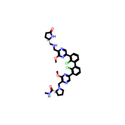 CNC(=O)[C@H]1CCCN1Cc1ncc(-c2cccc(-c3cccc(-c4cnc(CNC[C@@H]5CCC(=O)N5)c(OC)n4)c3Cl)c2Cl)nc1OC